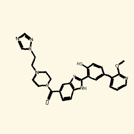 COc1ncccc1-c1ccc(O)c(-c2nc3cc(C(=O)N4CCN(CCn5cncn5)CC4)ccc3[nH]2)c1